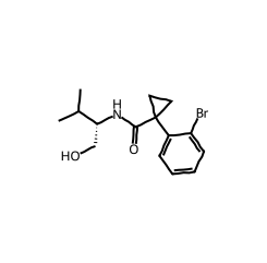 CC(C)[C@@H](CO)NC(=O)C1(c2ccccc2Br)CC1